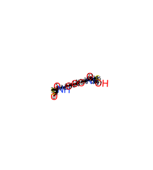 O=C1CC(C(=O)NCCCOCCOCCOCCCNC(=O)C2CSC(O)C2)CS1